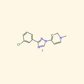 CN1C=CC(n2cnc(-c3cccc(Cl)c3)n2)=[C+]C1.[I-]